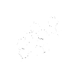 CCC[C@@H]1N(C(=O)c2ncccc2C(F)(F)F)CCC[C@@]1(Oc1csc(C(F)(F)F)c1)C(=O)N1CCc2cc(Cl)ccc2C1